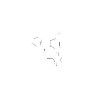 Cc1nnc2n1-c1ccc(S)cc1C(c1ccccc1)=NC2